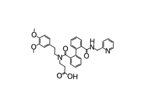 COc1ccc(CCN(CCC(=O)O)C(=O)c2ccccc2-c2ccccc2C(=O)NCc2ccccn2)cc1OC